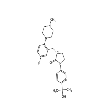 CN1CCN(c2ccc(F)cc2C[C@@H]2CCN(c3ccc(C(C)(C)O)nc3)C2=O)CC1